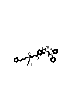 NC1=Nc2ccc(C(=O)CCC(=O)N(CCO)CCCCC3CCCC3)cc2CN1CC(=O)N(c1ccccc1)c1ccccc1